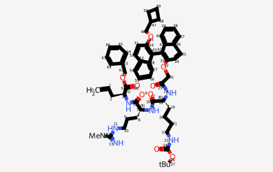 C=CC[C@H](NC(=O)[C@@H](CCCNC(=N)NC)NC(=O)[C@@H](CCCCNC(=O)OC(C)(C)C)NC(=O)COc1ccc2ccccc2c1-c1c(OCC2CCC2)ccc2ccccc12)C(=O)OCc1ccccc1